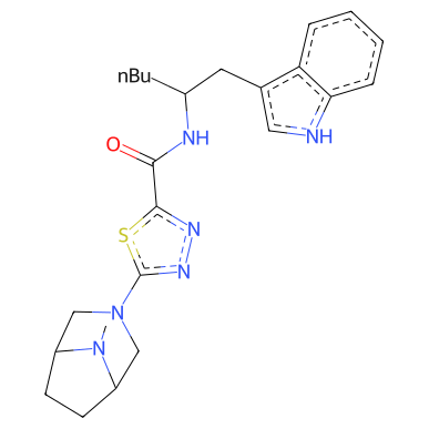 CCCCC(Cc1c[nH]c2ccccc12)NC(=O)c1nnc(N2CC3CCC(C2)N3C)s1